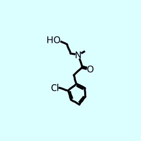 CN(CCO)C(=O)Cc1ccccc1Cl